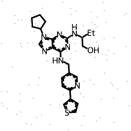 CCC(CO)Nc1nc(NCc2ccc(-c3ccsc3)nc2)c2ncn(C3CCCC3)c2n1